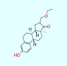 CCOCC1C[C@H]2[C@@H]3CCc4cc(O)ccc4[C@H]3CC[C@]2(C)C1=O